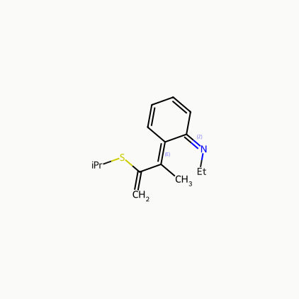 C=C(SC(C)C)/C(C)=C1\C=CC=C\C1=N\CC